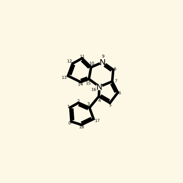 c1ccc(-c2ccc3cnc4ccccc4n23)cc1